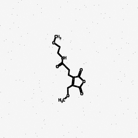 COCCNC(=O)CCC1=C(COC)C(=O)OC1=O